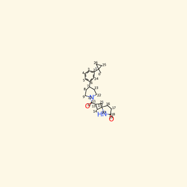 CC1(c2cccc(C3CCN(C(=O)C4CC5(CCC(=O)N5)C4)CC3)c2)CC1